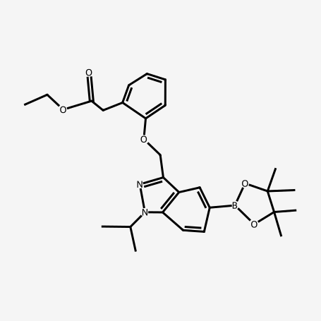 CCOC(=O)Cc1ccccc1OCc1nn(C(C)C)c2ccc(B3OC(C)(C)C(C)(C)O3)cc12